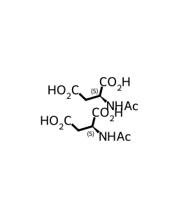 CC(=O)N[C@@H](CC(=O)O)C(=O)O.CC(=O)N[C@@H](CC(=O)O)C(=O)O